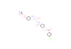 Cc1ncoc1COc1ccc2c(c1)C=NC([C@H](O)CNC(=O)c1ccc3c(c1)CCN(C(=O)c1ccc(Br)cc1)C3)C2